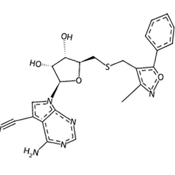 Cc1noc(-c2ccccc2)c1CSC[C@H]1O[C@@H](n2cc(C#N)c3c(N)ncnc32)[C@H](O)[C@@H]1O